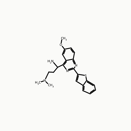 COc1ccc2nc(-c3cc4ccccc4s3)nc(C(N)CCN(C)C)c2c1